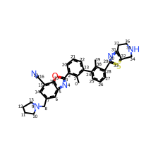 Cc1c(-c2nc3cc(CN4CCCC4)cc(C#N)c3o2)cccc1-c1cccc(-c2nc3c(s2)CNCC3)c1C